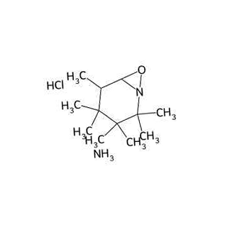 CC1C2ON2C(C)(C)C(C)(C)C1(C)C.Cl.N